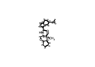 CN1C(=O)[C@@H](NC(=O)c2nnc3ccc(C4CC4)cn23)COC2CC=CC=C21